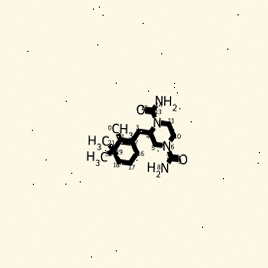 CC1=C(CC2CN(C(N)=O)CCN2C(N)=O)CCCC1(C)C